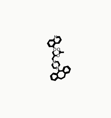 CC(=O)OC(COc1cccc2ncccc12)CN1CCN(C2c3ccccc3CCc3ccccc32)CC1